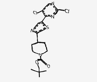 CC(C)(C)OC(=O)N1CCC(c2ncc(-c3nc(Cl)ncc3Cl)s2)CC1